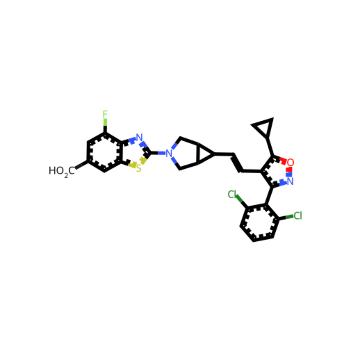 O=C(O)c1cc(F)c2nc(N3CC4C(C=Cc5c(-c6c(Cl)cccc6Cl)noc5C5CC5)C4C3)sc2c1